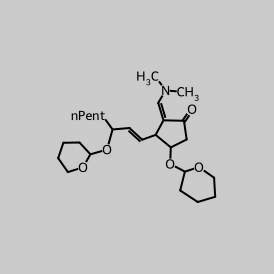 CCCCCC(/C=C/C1C(=CN(C)C)C(=O)CC1OC1CCCCO1)OC1CCCCO1